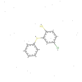 Sc1ccc(Cl)cc1Sc1ccccc1